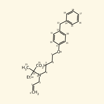 C=CCN(CCCCOc1ccc(Cc2ccccc2)cc1)C(C)(CC)C(=O)O